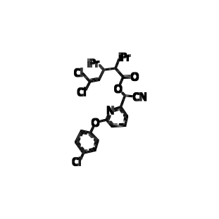 CC(C)C(C=C(Cl)Cl)C(C(=O)OC(C#N)c1cccc(Oc2ccc(Cl)cc2)n1)C(C)C